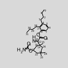 CCCCc1cccc(OC(=O)C(N)C2(C)CC(OC(N)=O)CC(C)(C)C2)c1CCCC